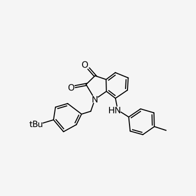 Cc1ccc(Nc2cccc3c2N(Cc2ccc(C(C)(C)C)cc2)C(=O)C3=O)cc1